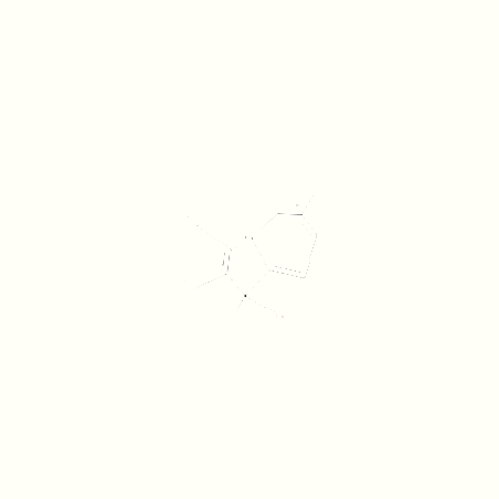 CCCC(O)(C(=CI)C(=O)O)c1ccc(C)cc1